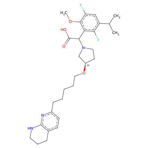 COc1c(F)cc(C(C)C)c(F)c1C(C(=O)O)N1CC[C@@H](OCCCCCc2ccc3c(n2)NCCC3)C1